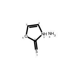 N.S=c1[nH]cco1